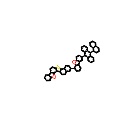 c1ccc2c(-c3c4ccccc4c(-c4ccc5oc6c(-c7ccc8c(ccc9c8sc8ccc%10c%11ccccc%11oc%10c89)c7)cccc6c5c4)c4ccccc34)cccc2c1